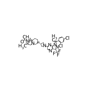 CC(=O)N[C@@H](C)CN1CCC[C@H](C2CN(c3cnc4c(C(F)(F)F)nn([C@H](C)c5ccc(Cl)cc5Cl)c4n3)C2)C1